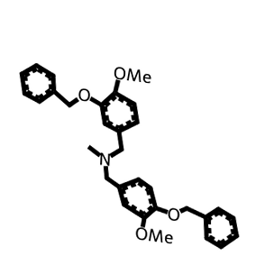 COc1cc(CN(C)Cc2ccc(OC)c(OCc3ccccc3)c2)ccc1OCc1ccccc1